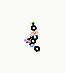 O=C(c1nnco1)[C@]12Cc3cnn(-c4ccc(F)cc4)c3C=C1CCN(S(=O)(=O)c1ccc(C(F)(F)F)cc1)C2